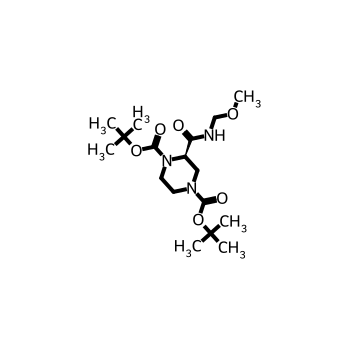 COCNC(=O)[C@H]1CN(C(=O)OC(C)(C)C)CCN1C(=O)OC(C)(C)C